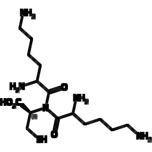 NCCCCC(N)C(=O)N(C(=O)C(N)CCCCN)[C@@H](CS)C(=O)O